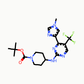 Cn1cnc(-c2nc(NC3CCN(C(=O)OC(C)(C)C)CC3)ncc2C(F)(F)F)c1